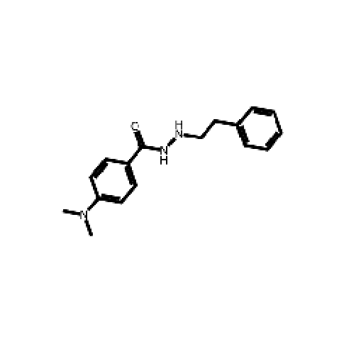 CN(C)c1ccc(C(=O)NNCCc2ccccc2)cc1